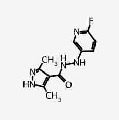 Cc1n[nH]c(C)c1C(=O)NNc1ccc(F)nc1